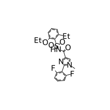 CCOc1cccc(CC)c1S(=O)(=O)NC(=O)c1cn(C)c(-c2c(F)cccc2F)n1